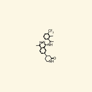 Cc1c([C@@H](C)Nc2nnc(C)c3ccc(C4CCNC(=O)C4)cc23)cccc1C(F)(F)F